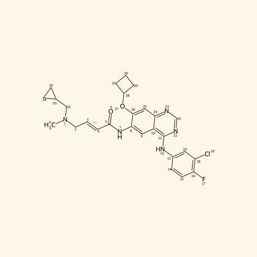 CN(C/C=C/C(=O)Nc1cc2c(Nc3ccc(F)c(Cl)c3)ncnc2cc1OC1CCC1)CC1CC1